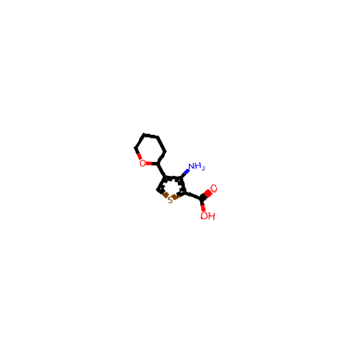 Nc1c(C2CCCCO2)csc1C(=O)O